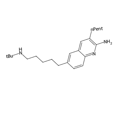 CCCCCc1cc2cc(CCCCCNC(C)(C)C)ccc2nc1N